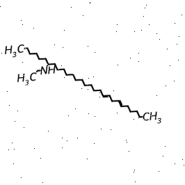 CCCCCC=CCC=CCCCCCCCCCCCC(CCCCCC)NCC